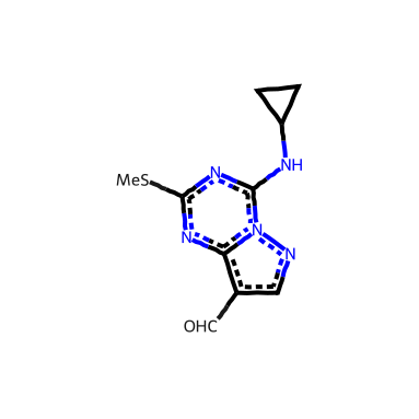 CSc1nc(NC2CC2)n2ncc(C=O)c2n1